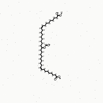 COC(=O)CCCCCCC/C=C\CCCCCCCCC(CCCCCCCC/C=C\CCCCCCCC(=O)OC)OC=O